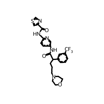 O=C(Nc1ccc(NC(=O)C(CCCN2CCOCC2)c2cccc(C(F)(F)F)c2)cn1)c1cscn1